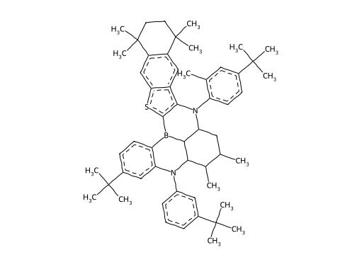 Cc1cc(C(C)(C)C)ccc1N1c2c(sc3cc4c(cc23)C(C)(C)CCC4(C)C)B2c3ccc(C(C)(C)C)cc3N(c3cccc(C(C)(C)C)c3)C3C(C)C(C)CC1C23